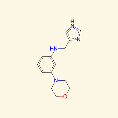 c1cc(NCc2c[nH]cn2)cc(N2CCOCC2)c1